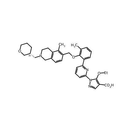 CCOc1c(C(=O)O)cnn1-c1cccc(-c2cccc(C)c2OCc2ccc3c(c2C)CCN(C[C@H]2CCCOC2)C3)n1